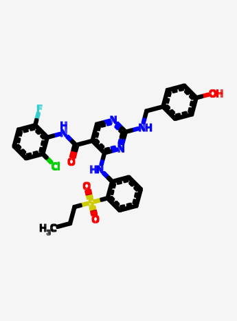 CCCS(=O)(=O)c1ccccc1Nc1nc(NCc2ccc(O)cc2)ncc1C(=O)Nc1c(F)cccc1Cl